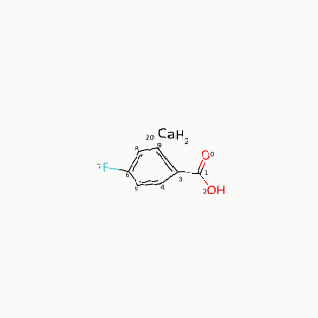 O=C(O)c1ccc(F)cc1.[CaH2]